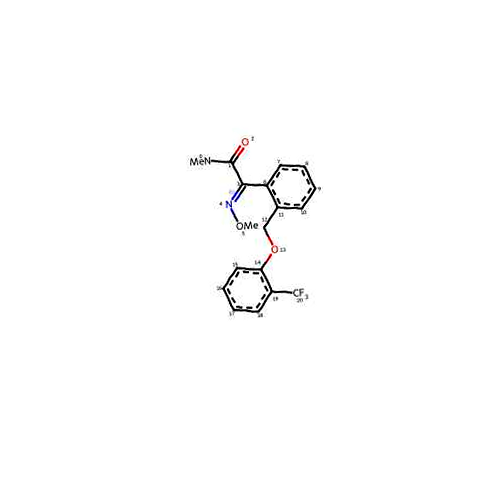 CNC(=O)/C(=N/OC)c1ccccc1COc1ccccc1C(F)(F)F